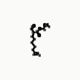 CCCCCC[C@@H](C=O)C(=O)OCC